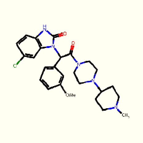 COc1cccc(C(C(=O)N2CCN(C3CCN(C)CC3)CC2)n2c(=O)[nH]c3ccc(Cl)cc32)c1